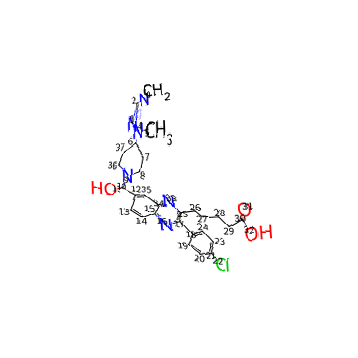 C=N/C=N\N(C)C1CCN(C(O)c2ccc3nc(-c4ccc(Cl)cc4)c(CCCCC(=O)O)nc3c2)CC1